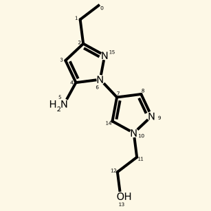 CCc1cc(N)n(-c2cnn(CCO)c2)n1